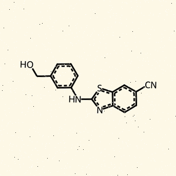 N#Cc1ccc2nc(Nc3cccc(CO)c3)sc2c1